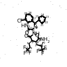 C[C@H](C[C@H](C(N)=O)[C@@H](CCC(F)(F)F)C(=O)N[C@H]1N=C(c2ccccc2)c2cccc(Cl)c2NC1=O)C(F)(F)F